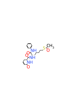 CC(=O)SCCCCC[C@H](NC(=O)[C@@H]1CC=CC(=O)N1)C(=O)Nc1ccccc1